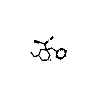 C#CC(=C=C)C1(Cc2ccccc2)CNCC(CC)C1